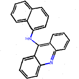 c1ccc2c(Nc3c4ccccc4nc4ccccc34)cccc2c1